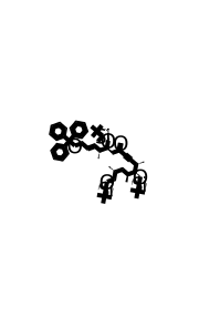 C[C@@H](CO[Si](C)(C)C(C)(C)C)C[C@H](C)[C@@H](O[Si](C)(C)C(C)(C)C)[C@@H](C)C#CC(=O)C[C@H](O[Si](C)(C)C(C)(C)C)[C@H](C)C=CCOC(c1ccccc1)(c1ccccc1)c1ccccc1